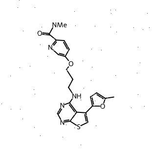 CNC(=O)c1ccc(OCCCNc2ncnc3scc(-c4ccc(C)o4)c23)cn1